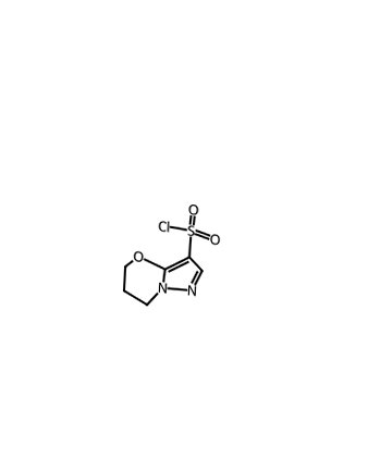 O=S(=O)(Cl)c1cnn2c1OCCC2